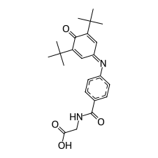 CC(C)(C)C1=CC(=Nc2ccc(C(=O)NCC(=O)O)cc2)C=C(C(C)(C)C)C1=O